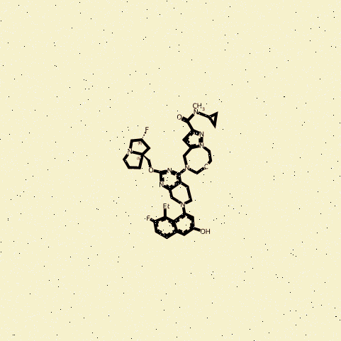 CCc1c(F)ccc2cc(O)cc(N3CCc4c(nc(OC[C@@]56CCCN5C[C@H](F)C6)nc4N4CCCCn5nc(C(=O)N(C)C6CC6)cc5C4)C3)c12